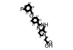 O=C(O)CCN1CCC2=NC(c3ccc(OCc4cccc(F)c4)cc3)NC=C2C1